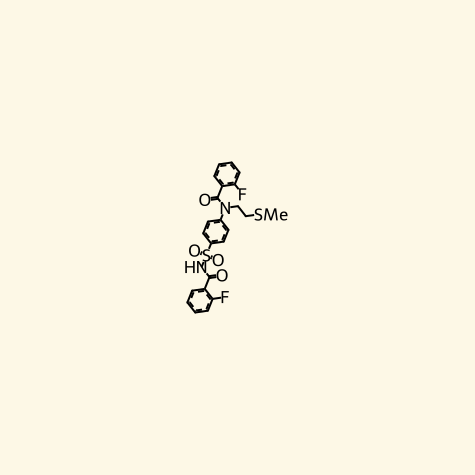 CSCCN(C(=O)c1ccccc1F)c1ccc(S(=O)(=O)NC(=O)c2ccccc2F)cc1